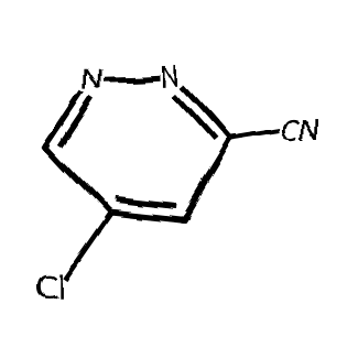 N#Cc1cc(Cl)cnn1